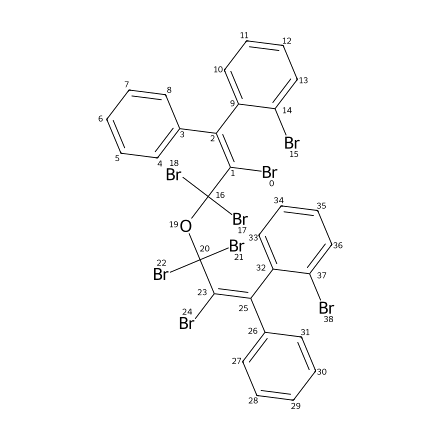 BrC(=C(c1ccccc1)c1ccccc1Br)C(Br)(Br)OC(Br)(Br)C(Br)=C(c1ccccc1)c1ccccc1Br